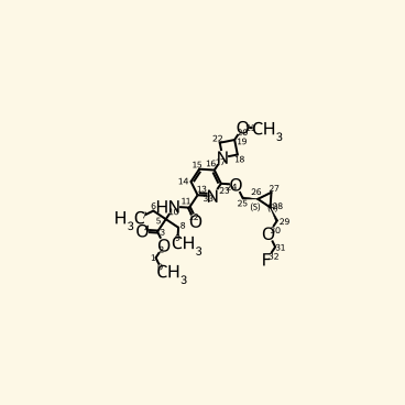 CCOC(=O)C(CC)(CC)NC(=O)c1ccc(N2CC(OC)C2)c(OC[C@H]2C[C@H]2COCF)n1